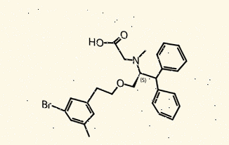 Cc1cc(Br)cc(CCOC[C@H](C(c2ccccc2)c2ccccc2)N(C)CC(=O)O)c1